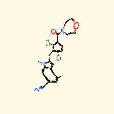 Cc1cc(C#N)cc2c1cc(Cc1c(Cl)ccc(C(=O)N3CCOCC3)c1Cl)n2C